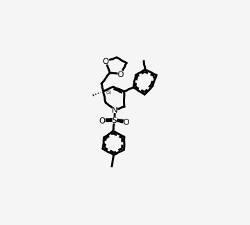 Cc1ccc(S(=O)(=O)N2CC(c3cccc(C)c3)=C[C@](C)(CC3OCCO3)C2)cc1